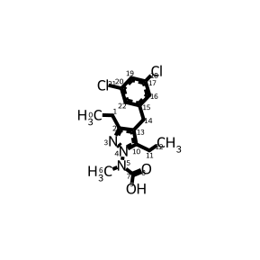 CCc1nn(N(C)C(=O)O)c(CC)c1Cc1cc(Cl)cc(Cl)c1